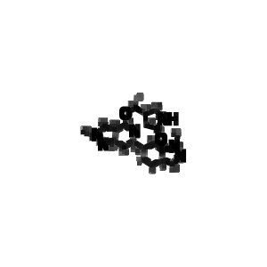 CC(Oc1nc(-c2ccc3cnn(C)c3c2)cc2nn(C)cc12)[C@H]1CNC(=O)C1